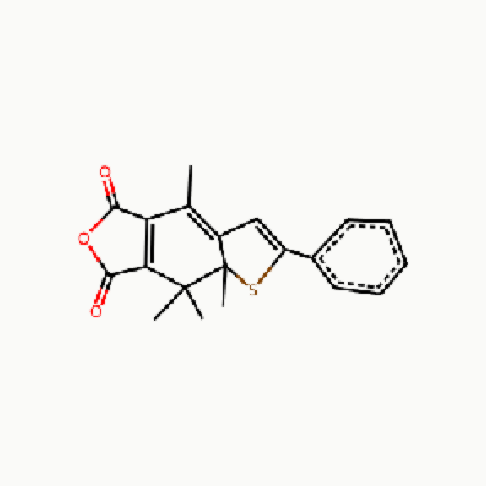 CC1=C2C=C(c3ccccc3)SC2(C)C(C)(C)C2=C1C(=O)OC2=O